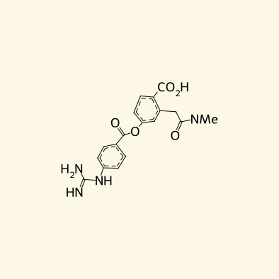 CNC(=O)Cc1cc(OC(=O)c2ccc(NC(=N)N)cc2)ccc1C(=O)O